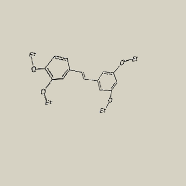 CCOc1cc(C=Cc2ccc(OCC)c(OCC)c2)cc(OCC)c1